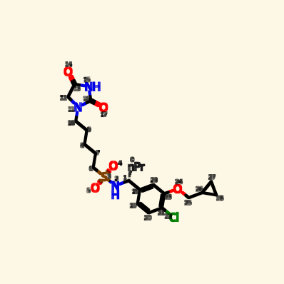 CCC[C@@H](NS(=O)(=O)CCCCCN1CC(=O)NC1=O)c1ccc(Cl)c(OCC2CC2)c1